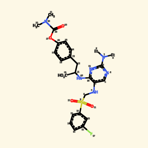 CCN(CC)c1ncc(NCS(=O)(=O)c2cccc(F)c2)c(NC(Cc2ccc(OC(=O)N(C)C)cc2)C(=O)O)n1